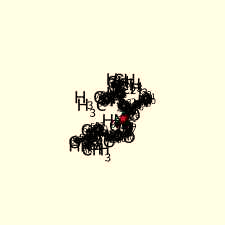 C=CN(c1c(C)cc(-c2ccc3c(c2)N(C2CC(N4CCCCC4)C2)C(=O)C3(CCNC=O)CCC2CCN(C(=O)C3CCN(C(=O)CNc4cccc5c4C(=O)N(C(CCC=O)C(=O)NC)C5=O)CC3)C2)nc1Nc1cc(C)c(C)cc1F)C(C)C